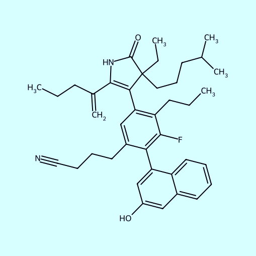 C=C(CCC)C1=C(c2cc(CCCC#N)c(-c3cc(O)cc4ccccc34)c(F)c2CCC)C(CC)(CCCC(C)C)C(=O)N1